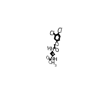 CC(=O)NC12CC(NC(=O)COc3ccc(Cl)c(Cl)c3)(C1)C2